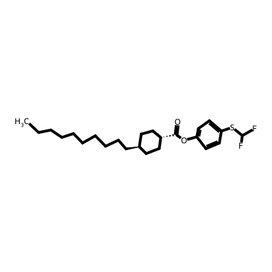 CCCCCCCCCC[C@H]1CC[C@H](C(=O)Oc2ccc(SC(F)F)cc2)CC1